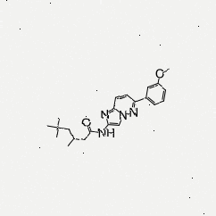 COc1cccc(-c2ccc3nc(NC(=O)CC(C)CC(C)(C)C)cn3n2)c1